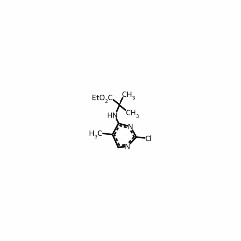 CCOC(=O)C(C)(C)Nc1nc(Cl)ncc1C